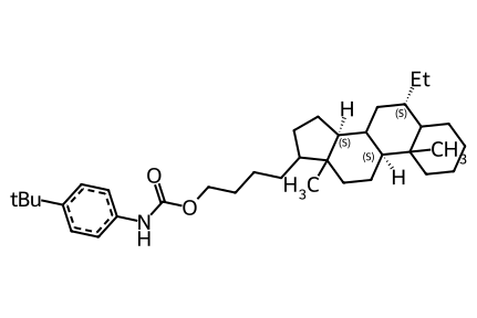 CC[C@H]1CC2[C@@H]3CCC(CCCCOC(=O)Nc4ccc(C(C)(C)C)cc4)C3(C)CC[C@@H]2C2(C)CCCCC12